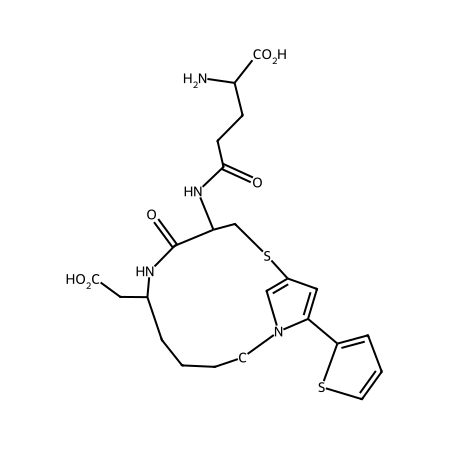 NC(CCC(=O)NC1CSc2cc(-c3cccs3)n(c2)CCCCC(CC(=O)O)NC1=O)C(=O)O